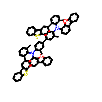 Cc1cc(-c2ccc(N(c3c(C)cccc3-c3ccc4sc5ccccc5c4c3)c3cccc4c3oc3ccccc34)c(C)c2)ccc1N(c1c(C)cccc1-c1ccc2sc3ccccc3c2c1)c1cccc2c1oc1ccccc12